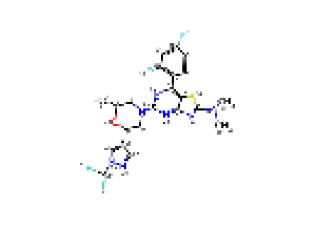 CC1CN(c2nc(-c3ccc(F)cc3F)c3sc(N(C)C)nc3n2)C[C@H](c2cnn(C(F)F)c2)O1